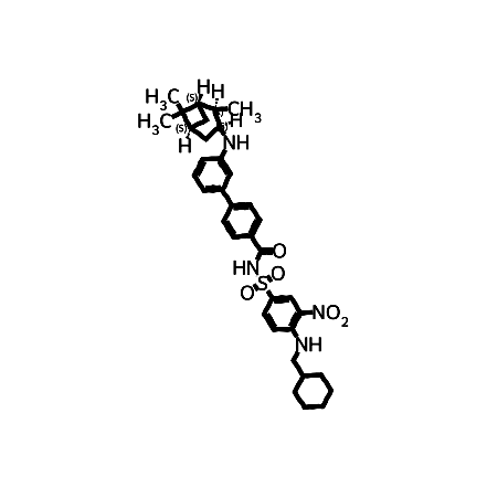 C[C@H]1[C@@H](Nc2cccc(-c3ccc(C(=O)NS(=O)(=O)c4ccc(NCC5CCCCC5)c([N+](=O)[O-])c4)cc3)c2)C[C@@H]2C[C@@H]1C2(C)C